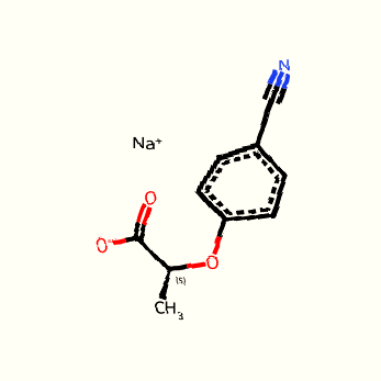 C[C@H](Oc1ccc(C#N)cc1)C(=O)[O-].[Na+]